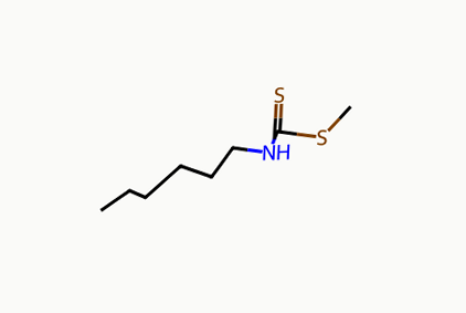 CCCCCCNC(=S)SC